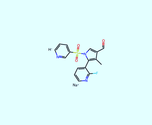 Cc1c(C=O)cn(S(=O)(=O)c2cccnc2)c1-c1cccnc1F.[H-].[Na+]